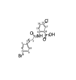 O=C(CSc1ccc(Br)cc1)Nc1ccc(Cl)cc1C(=O)O